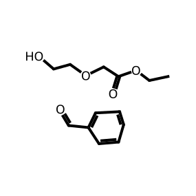 CCOC(=O)COCCO.O=Cc1ccccc1